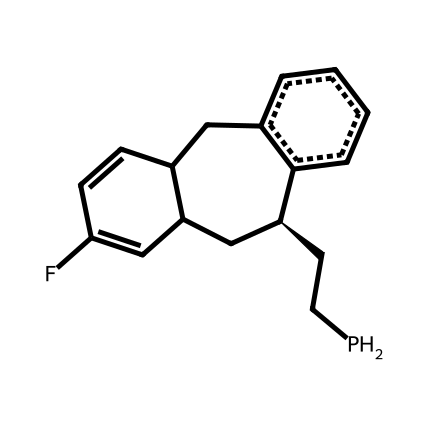 FC1=CC2C[C@H](CCP)c3ccccc3CC2C=C1